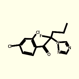 CCCC(F)(C(=O)c1ccc(Cl)cc1Cl)n1cncn1